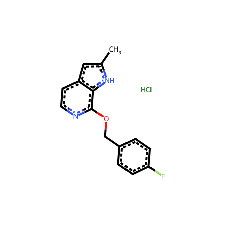 Cc1cc2ccnc(OCc3ccc(F)cc3)c2[nH]1.Cl